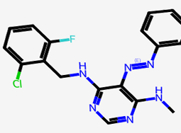 CNc1ncnc(NCc2c(F)cccc2Cl)c1/N=N/c1ccccc1